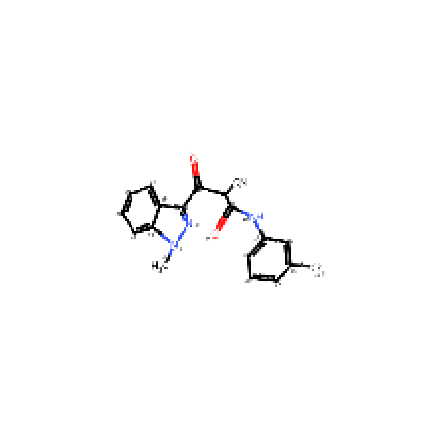 Cn1nc(C(=O)C(C#N)C(=O)Nc2cccc(C(F)(F)F)c2)c2ccccc21